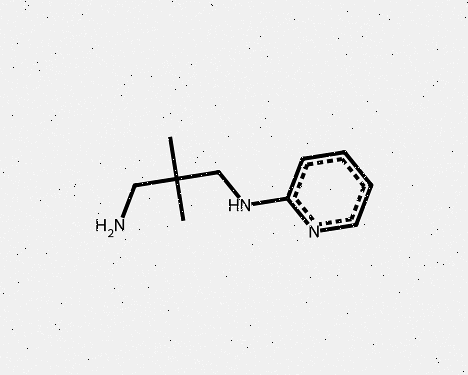 CC(C)(CN)CNc1ccccn1